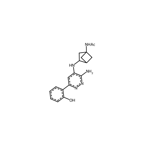 CC(=O)NC12CC(C1)C(Nc1cc(-c3ccccc3O)nnc1N)C2